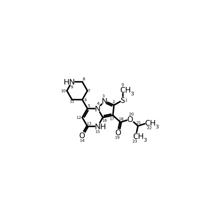 CSc1nn2c(C3CCNCC3)cc(=O)[nH]c2c1C(=O)OC(C)C